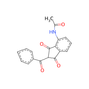 CC(=O)Nc1cccc2c1C(=O)C(C(=O)c1ccccc1)C2=O